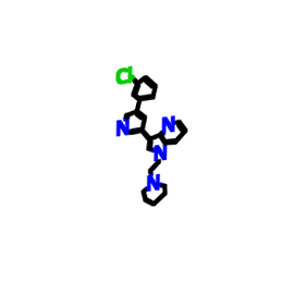 Clc1cccc(-c2cncc(-c3cn(CCN4CCCCC4)c4cccnc34)c2)c1